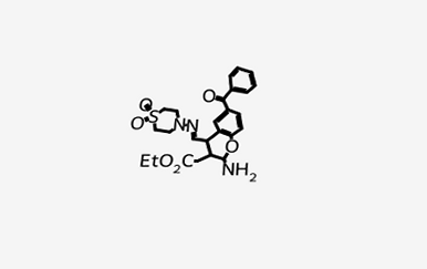 CCOC(=O)CC1C(N)Oc2ccc(C(=O)c3ccccc3)cc2C1C=NN1CCS(=O)(=O)CC1